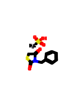 CS(=O)(=O)O.O=C1CSC(=O)N1Cc1ccccc1